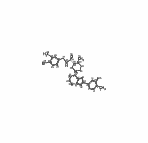 Cc1ccc(-n2cc3c(N4CCN(C)[C@@H](C(=O)NCc5cc(C)c(Br)cn5)C4)ncnc3n2)cc1F